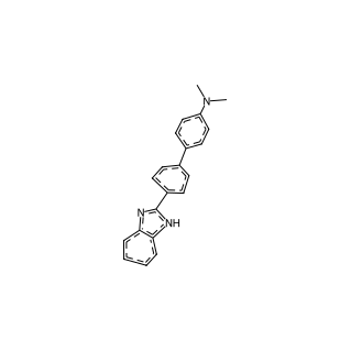 CN(C)c1ccc(-c2ccc(-c3nc4ccccc4[nH]3)cc2)cc1